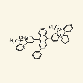 CN1c2ccccc2[Si]2(CCCC2)c2ccc(-c3c4ccccc4c(-c4ccc5c(c4)-c4ccccc4C5(C)C)c4cc(-c5ccccc5)ccc34)cc21